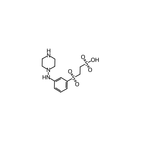 O=S(=O)(O)CCS(=O)(=O)c1cccc(NN2CCNCC2)c1